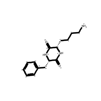 NCCCC[C@@H]1NC(=O)[C@H](Cc2ccccc2)NC1=O